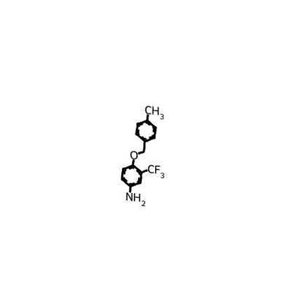 Cc1ccc(COc2ccc(N)cc2C(F)(F)F)cc1